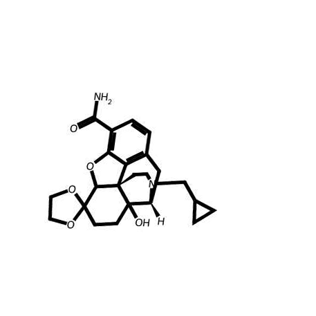 NC(=O)c1ccc2c3c1OC1C4(CCC5(O)[C@@H](C2)N(CC2CC2)CC[C@]315)OCCO4